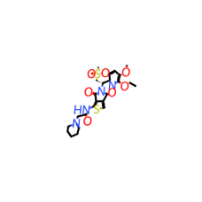 CCOc1nc([C@@H](CS(C)(=O)=O)N2C(=O)c3csc(NC(=O)CN4CCCCC4)c3C2=O)ccc1OC